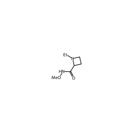 CCN1CCC1C(=O)NOC